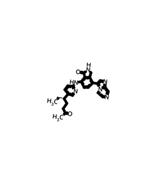 CC[C@@H](CCC(C)=O)c1ccc(Nc2ccc(-c3cnc4cnccn34)c3c2C(=O)NC3)nc1